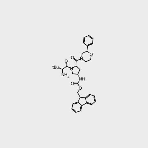 CC(C)(C)[C@H](N)C(=O)N1C[C@@H](NC(=O)OCC2c3ccccc3-c3ccccc32)C[C@H]1C(=O)N1CCO[C@H](c2ccccc2)C1